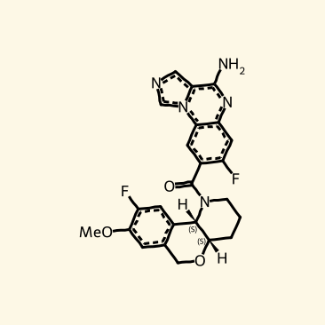 COc1cc2c(cc1F)[C@H]1[C@H](CCCN1C(=O)c1cc3c(cc1F)nc(N)c1cncn13)OC2